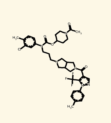 CC(=O)N1CCC(OC(=O)N(CCCN2CC3CN(C(=O)c4cnn(-c5ccc(C)cc5)c4C(F)(F)F)CC3C2)c2ccc(C)c(Cl)c2)CC1